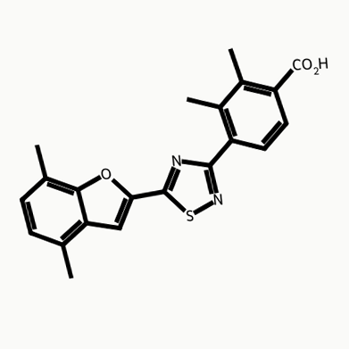 Cc1c(C(=O)O)ccc(-c2nsc(-c3cc4c(C)ccc(C)c4o3)n2)c1C